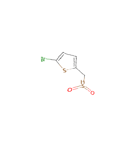 O=[SH](=O)Cc1ccc(Br)s1